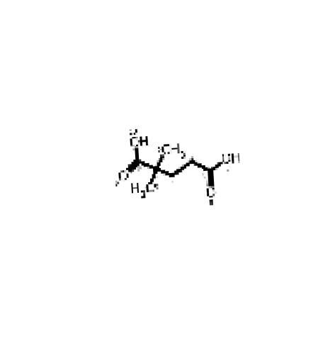 [CH2]C(C)(CCC(=O)O)C(=O)O